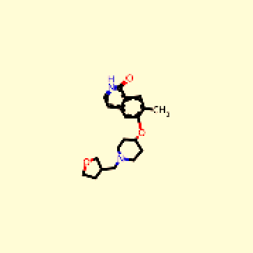 Cc1cc2c(=O)[nH]ccc2cc1OC1CCN(CC2CCOC2)CC1